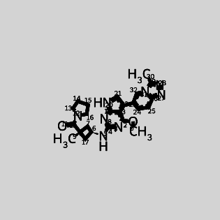 COc1nc(N[C@H]2C[C@@](C)(C(=O)N3CCCC3)C2)nc2[nH]cc(-c3ccc4nnc(C)n4c3)c12